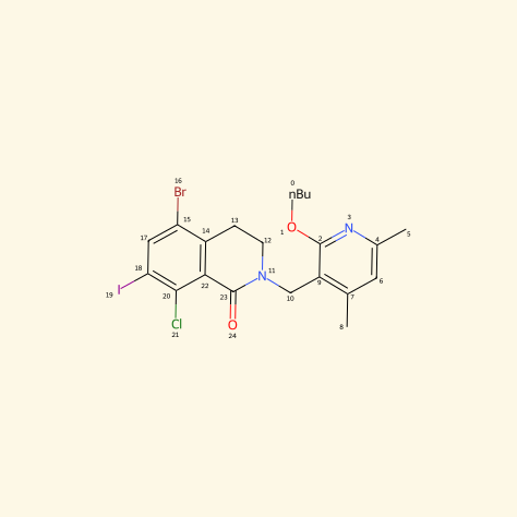 CCCCOc1nc(C)cc(C)c1CN1CCc2c(Br)cc(I)c(Cl)c2C1=O